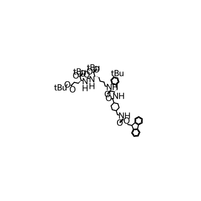 CC(C)(C)OC(=O)CC[C@H](NC(=O)N[C@@H](CCCCNC(=O)[C@H](Cc1ccc(C(C)(C)C)cc1)NC(=O)C1CCC(CNC(=O)OCC2c3ccccc3-c3ccccc32)CC1)C(=O)OC(C)(C)C)C(=O)OC(C)(C)C